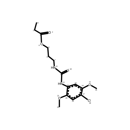 CCC(=O)OCCCNC(=S)Nc1cc(OC)c(Cl)cc1OC